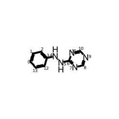 c1ccc(NNc2ncncn2)cc1